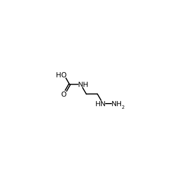 NNCCNC(=O)O